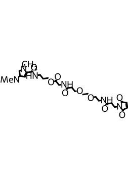 CNC1C=C(C(=O)NCCCOC(=O)CNC(=O)CCOCCOCCNC(=O)CCN2C(=O)C=CC2=O)N(C)C1